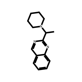 CC(c1ncc2ccccc2n1)N1CCCCC1